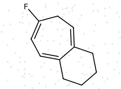 FC1=CC=C2CCCCC2=CC1